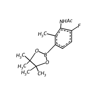 CC(=O)Nc1c(F)ccc(B2OC(C)(C)C(C)(C)O2)c1C